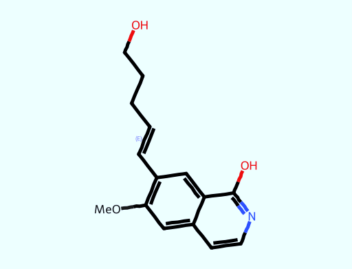 COc1cc2ccnc(O)c2cc1/C=C/CCCO